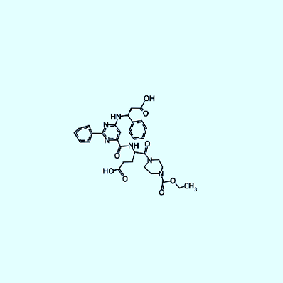 CCOC(=O)N1CCN(C(=O)C(CCC(=O)O)NC(=O)c2cc(N[C@@H](CC(=O)O)c3ccccc3)nc(-c3ccccc3)n2)CC1